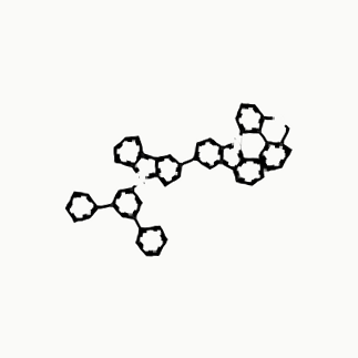 c1ccc(-c2cc(-c3ccccc3)cc(-n3c4ccccc4c4cc(-c5ccc6c(c5)c5ccccc5n6-c5cccc6c5-c5ccccc5CO6)ccc43)c2)cc1